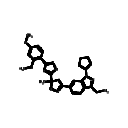 CCc1nn(C2CCCC2)c2cc(C3=NOC(C)(c4nc(-c5ccc(OC)cc5OC)no4)C3)ccc12